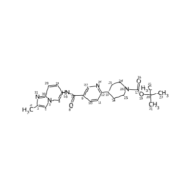 Cc1cn2cc(NC(=O)c3ccc(C4CCN(C(=O)OC(C)(C)C)CC4)nc3)ccc2n1